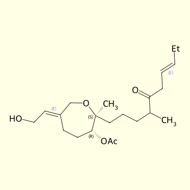 CC/C=C/CC(=O)C(C)CCC[C@]1(C)OC/C(=C/CO)CC[C@H]1OC(C)=O